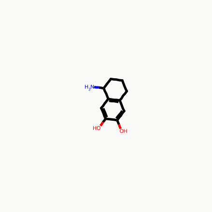 NC1CCCc2cc(O)c(O)cc21